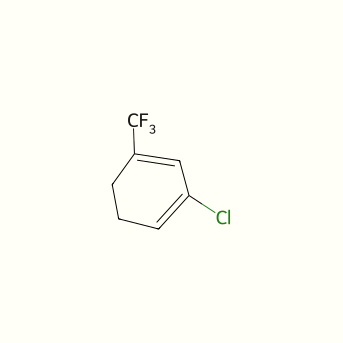 FC(F)(F)C1=CC(Cl)=CCC1